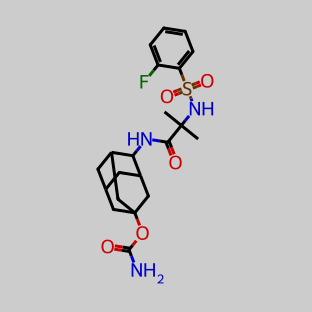 CC(C)(NS(=O)(=O)c1ccccc1F)C(=O)NC1C2CC3CC1CC(OC(N)=O)(C3)C2